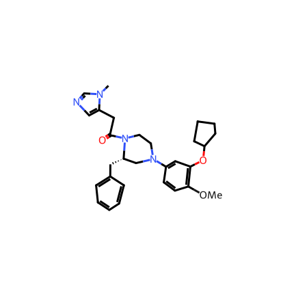 COc1ccc(N2CCN(C(=O)Cc3cncn3C)[C@@H](Cc3ccccc3)C2)cc1OC1CCCC1